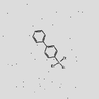 CCS(CC)(CC)c1ccc(-c2ccccc2)cc1